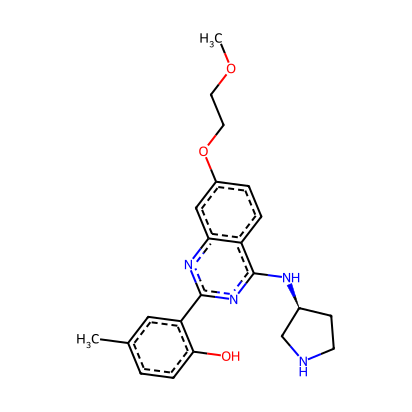 COCCOc1ccc2c(N[C@H]3CCNC3)nc(-c3cc(C)ccc3O)nc2c1